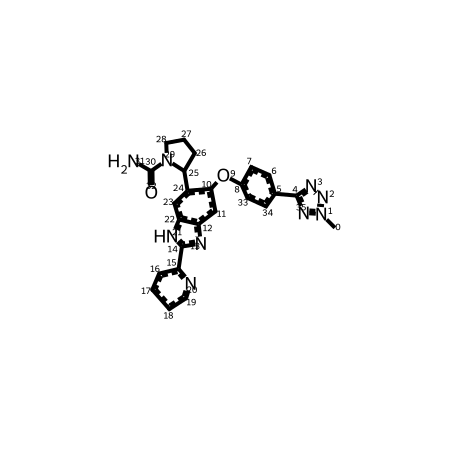 Cn1nnc(-c2ccc(Oc3cc4nc(-c5ccccn5)[nH]c4cc3C3CCCN3C(N)=O)cc2)n1